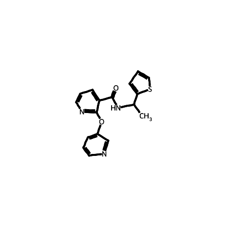 CC(NC(=O)c1cccnc1Oc1cccnc1)c1cccs1